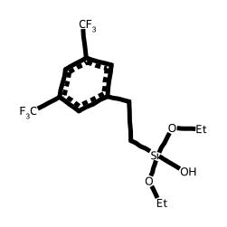 CCO[Si](O)(CCc1cc(C(F)(F)F)cc(C(F)(F)F)c1)OCC